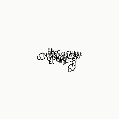 CCO[Si](CN1CCOCC1)(OCC)OC(C)(C)[Si](C)(C)OC(C)(C)[Si](C)(C)O[Si](CN1CCOCC1)(OCC)OCC